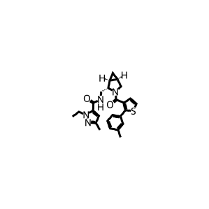 CCn1nc(C)cc1C(=O)NC[C@@H]1[C@H]2C[C@H]2CN1C(=O)c1ccsc1-c1cccc(C)c1